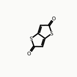 O=C1C=C2SC(=O)C=C2S1